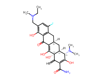 B=C1C(C(N)=O)=C(O)[C@@H](N(C)C)[C@@H]2C[C@@H]3Cc4c(F)cc(CN(C)CC)c(O)c4C(=O)C3=C(O)[C@]12O